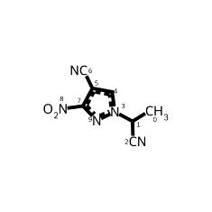 CC(C#N)n1cc(C#N)c([N+](=O)[O-])n1